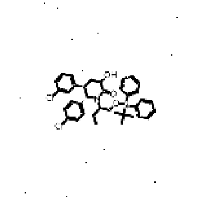 CCC(CO[Si](c1ccccc1)(c1ccccc1)C(C)(C)C)N1C(=O)C(O)C[C@H](c2cccc(Cl)c2)[C@H]1c1ccc(Cl)cc1